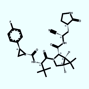 CC(C)(C)[C@H](NC(=O)[C@@H]1C[C@H]1c1ccc(F)cc1)C(=O)N1C[C@H]2[C@@H]([C@H]1C(=O)N[C@H](C#N)C[C@@H]1CCNC1=O)C2(C)C